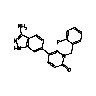 Nc1n[nH]c2cc(-c3ccc(=O)n(Cc4ccccc4F)c3)ccc12